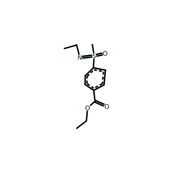 CCN=S(C)(=O)c1ccc(C(=O)OCC)cc1